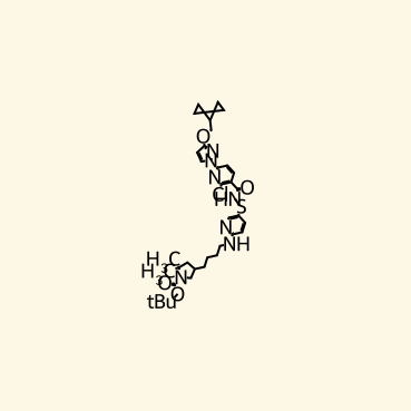 CC(C)(C)OC(=O)N1CC(CCCCNc2ccc(SNC(=O)c3ccc(-n4ccc(OCC5C6(CC6)C56CC6)n4)nc3Cl)cn2)CC1(C)C